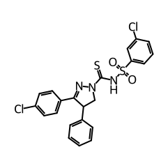 O=S(=O)(NC(=S)N1CC(c2ccccc2)C(c2ccc(Cl)cc2)=N1)c1cccc(Cl)c1